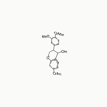 COc1ccc(C2COc3cc(OC(C)=O)ccc3C2O)cc1OC